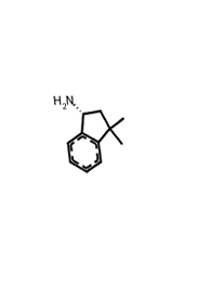 CC1(C)C[C@@H](N)c2ccccc21